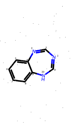 C1=NC=Nc2ccccc2N1